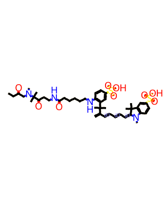 C=C(/C=C/C=C/C=C1/N(C)c2ccc(S(=O)(=O)O)cc2C1(C)C)C(C)(C)c1cc(S(=O)(=O)O)ccc1NCCCCCC(=O)NCCC(=O)C(C)(C)N(C)CC(=O)CC